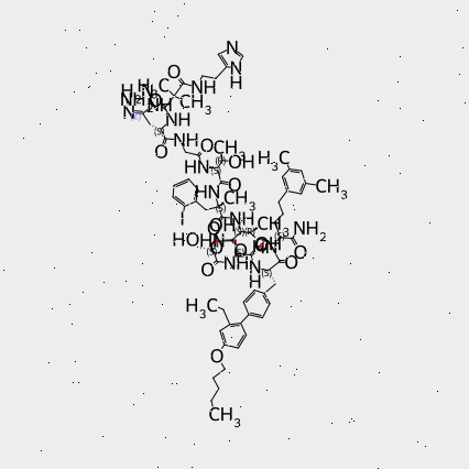 CCCCCOc1ccc(-c2ccc(C[C@H](NC(=O)[C@H](CC(=O)O)NC(=O)[C@H](CO)NC(=O)[C@@H](NC(=O)[C@](C)(Cc3ccccc3I)NC(=O)[C@@H](NC(=O)CNC(=O)[C@H](C/C(=N/N)NN)NC(=O)C(C)(C)C(=O)NCCc3cnc[nH]3)[C@@H](C)O)[C@@H](C)O)C(=O)N[C@@H](CCCc3cc(C)cc(C)c3)C(N)=O)cc2)c(CC)c1